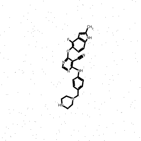 Cc1cc2c(F)c(Oc3ncnc(Nc4ccc(CN5CCNCC5)cc4)c3C#N)ccc2[nH]1